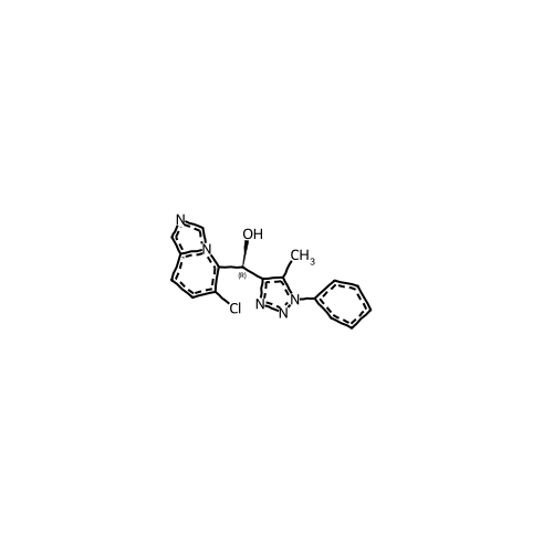 Cc1c([C@H](O)c2c(Cl)ccc3cncn23)nnn1-c1ccccc1